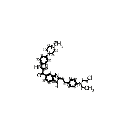 CCN(CCCl)c1ccc(CCc2nc3cc(C(=O)c4nc5cc(N6CCN(C)CC6)ccc5[nH]4)ccc3[nH]2)cc1